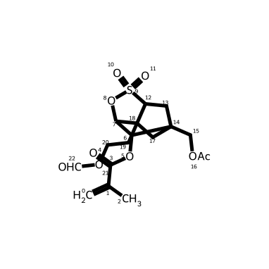 C=C(C)C(=O)OC1C2OS(=O)(=O)C3CC1(COC(C)=O)CC23CCOC=O